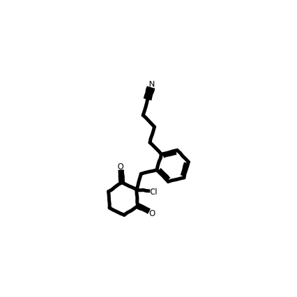 N#CCCCc1ccccc1CC1(Cl)C(=O)CCCC1=O